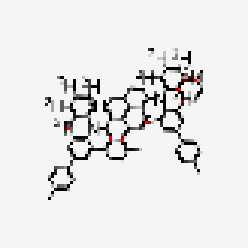 [2H]c1c([2H])c([2H])c(N(c2c(F)cc(-c3ccc(C)cc3)cc2-c2ccc(C)cc2)c2ccc3ccc4c(N(c5c(F)cc(-c6ccc(C)cc6)cc5-c5ccc(C)cc5)c5c([2H])c([2H])c([2H])c([2H])c5[2H])ccc5ccc2c3c54)c([2H])c1[2H]